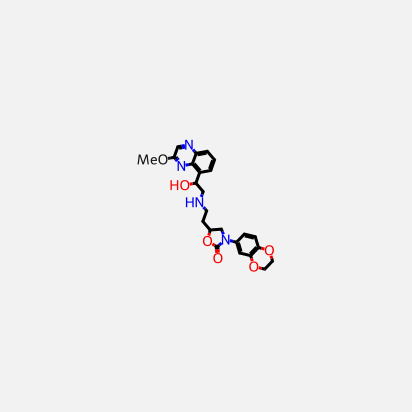 COc1cnc2cccc(C(O)CNCCC3CN(c4ccc5c(c4)OCCO5)C(=O)O3)c2n1